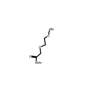 CCCCOCCOCC(=O)NC